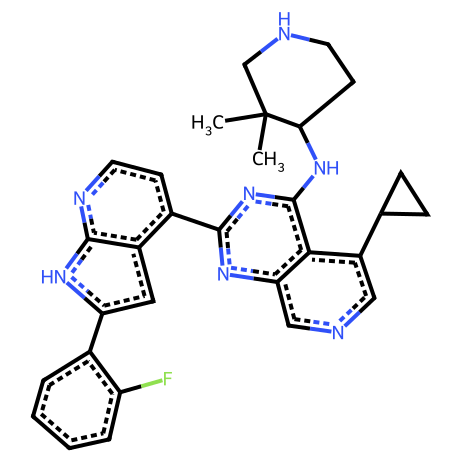 CC1(C)CNCCC1Nc1nc(-c2ccnc3[nH]c(-c4ccccc4F)cc23)nc2cncc(C3CC3)c12